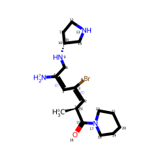 C[C@@H](/C=C(Br)\C=C(\N)CN[C@@H]1CCNC1)C(=O)N1CCCCC1